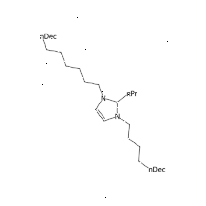 CCCCCCCCCCCCCCCCN1C=CN(CCCCCCCCCCCCCC)C1CCC